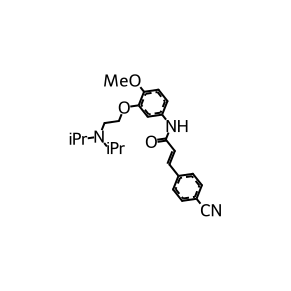 COc1ccc(NC(=O)/C=C/c2ccc(C#N)cc2)cc1OCCN(C(C)C)C(C)C